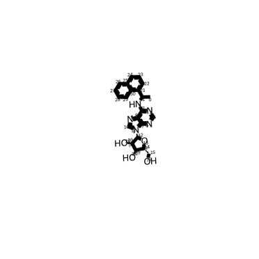 CC(Nc1ncnc2c1ncn2[C@@H]1O[C@H](CO)[C@@H](O)[C@H]1O)c1cccc2ccccc12